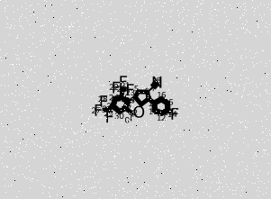 C[C@@H](O[C@H]1CC[C@@H](C#N)C1c1ccc(F)cc1)c1cc(C(F)(F)F)cc(C(F)(F)F)c1